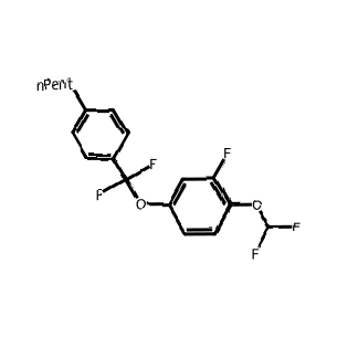 CCCCCc1ccc(C(F)(F)Oc2ccc(OC(F)F)c(F)c2)cc1